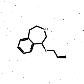 C=CCSC1CNCCc2ccccc21